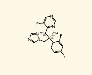 C[C@@H](c1ncncc1F)[C@](O)(Cn1cncn1)C1CC=C(F)C=C1F